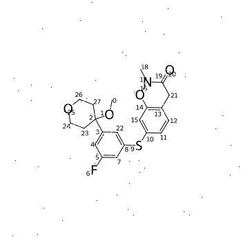 COC1(c2cc(F)cc(Sc3ccc4c(c3)ON(C)C(=O)C4)c2)CCOCC1